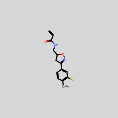 C=CC(=O)NCC1CC(c2ccc(OC)c(F)c2)=NO1